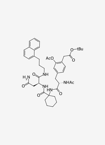 CC(=O)N[C@@H](Cc1ccc(CC(=O)OC(C)(C)C)c(OC(C)=O)c1)C(=O)NC1(C(=O)N[C@@H](CC(N)=O)C(=O)NCCCc2cccc3ccccc23)CCCCC1